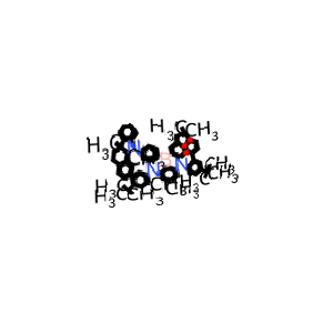 Cc1cc2c3c(c1)N(c1ccc(C(C)(C)C)cc1-c1ccccc1)c1cc4c(cc1B3c1ccc(N3c5ccccc5C5(C)CCc6ccccc6C35C)cc1N2c1ccc(C(C)(C)C)cc1C)CC(C)(C)C4